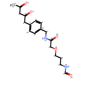 CC(=O)CC(=O)Cc1ccc(CNC(=O)COCCCNC=O)cc1